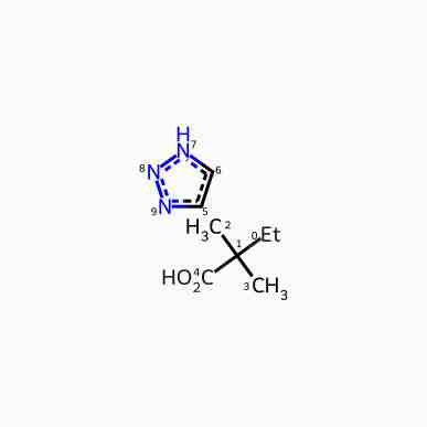 CCC(C)(C)C(=O)O.c1c[nH]nn1